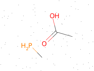 CC(=O)O.CP